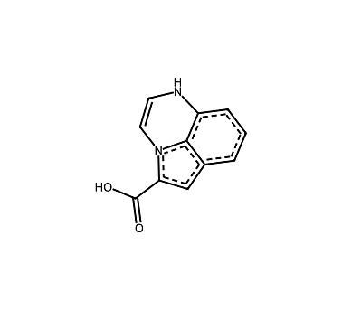 O=C(O)c1cc2cccc3c2n1C=CN3